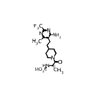 Cc1nc(C(F)(F)F)nc(N)c1CCC1CCN(C(=O)[C@H](C)NC(=O)O)CC1